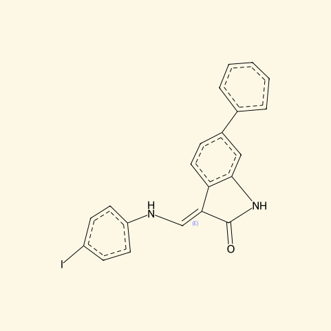 O=C1Nc2cc(-c3ccccc3)ccc2/C1=C\Nc1ccc(I)cc1